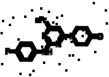 CCCc1cc(N2CCC(=O)CC2)nc(Nc2ccc(F)cc2)n1